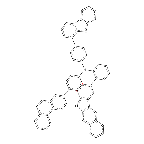 c1ccc(N(c2ccc(-c3ccc4c(ccc5ccccc54)c3)cc2)c2ccc(-c3cccc4c3oc3ccccc34)cc2)c(-c2ccc3oc4cc5ccccc5cc4c3c2)c1